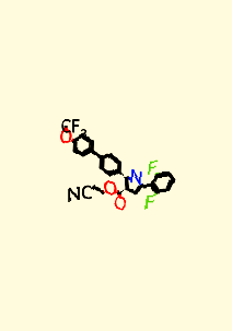 N#CCCOC(=O)[C@H]1CC(c2c(F)cccc2F)=N[C@H]1c1ccc(-c2ccc(OC(F)(F)F)cc2)cc1